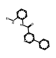 CCNc1ccccc1NC(=O)c1cncc(-c2ccccc2)c1